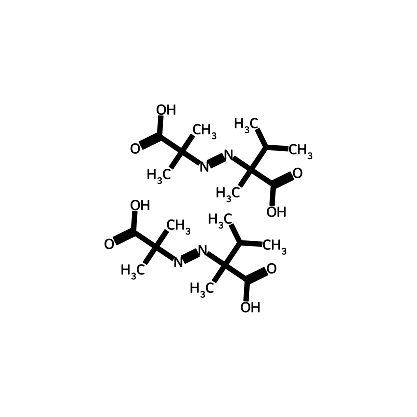 CC(C)C(C)(N=NC(C)(C)C(=O)O)C(=O)O.CC(C)C(C)(N=NC(C)(C)C(=O)O)C(=O)O